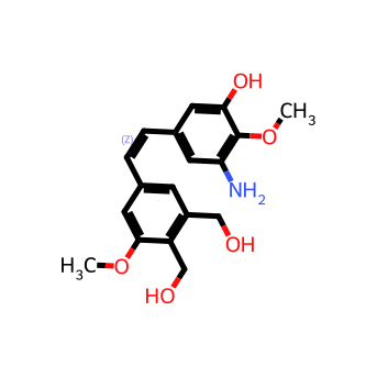 COc1cc(/C=C\c2cc(N)c(OC)c(O)c2)cc(CO)c1CO